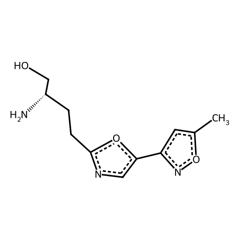 Cc1cc(-c2cnc(CC[C@H](N)CO)o2)no1